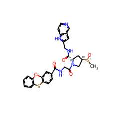 C[S+]([O-])[C@@H]1C[C@@H](C(=O)NCc2cc3cnccc3[nH]2)N(C(=O)CNC(=O)c2ccc3c(c2)Oc2ccccc2S3)C1